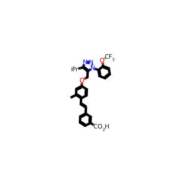 Cc1cc(OCc2c(C(C)C)nnn2-c2ccccc2OC(F)(F)F)ccc1C=Cc1cccc(C(=O)O)c1